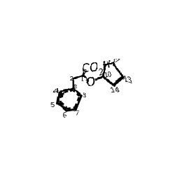 O=C(O)C(Cc1ccccc1)OC1CCCC1